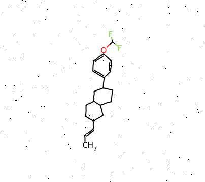 C/C=C/C1CCC2CC(c3ccc(OC(F)F)cc3)CCC2C1